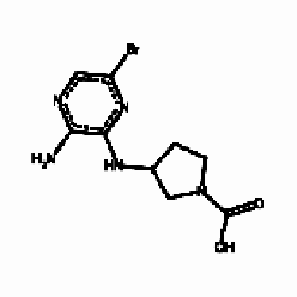 Nc1ncc(Br)nc1NC1CCN(C(=O)O)C1